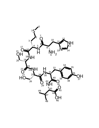 CSCC[C@H](NC(=O)[C@@H](N)Cc1c[nH]cn1)C(=O)N[C@@H](CO)C(=O)N[C@@H](CO)C(=O)N[C@@H](Cc1ccc(O)cc1)C(=O)N[C@H](C(=O)O)C(C)C